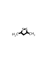 [CH2]C1CC(C)SS1